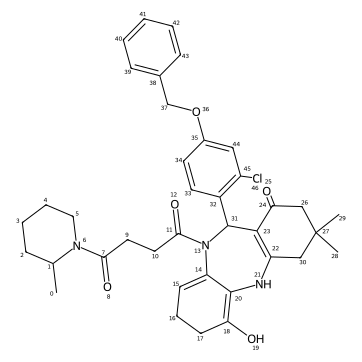 CC1CCCCN1C(=O)CCC(=O)N1C2=CCCC(O)=C2NC2=C(C(=O)CC(C)(C)C2)C1c1ccc(OCc2ccccc2)cc1Cl